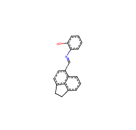 Oc1ccccc1/N=C/c1ccc2c3c(cccc13)CC2